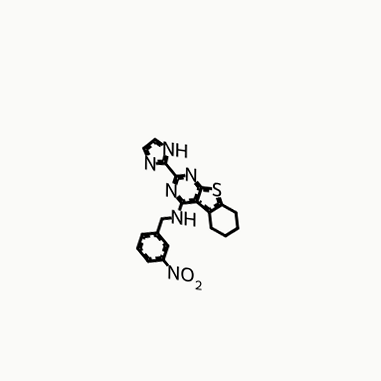 O=[N+]([O-])c1cccc(CNc2nc(-c3ncc[nH]3)nc3sc4c(c23)CCCC4)c1